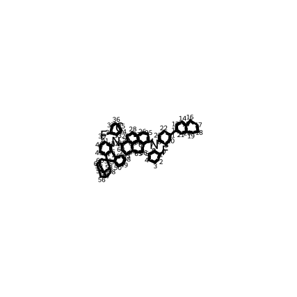 Fc1ccccc1N(c1ccc(-c2ccc3ccccc3c2)cc1)c1ccc2ccc3c(N(c4ccccc4F)c4cccc5c4-c4ccccc4C54C5CC6CC(C5)CC4C6)ccc4ccc1c2c43